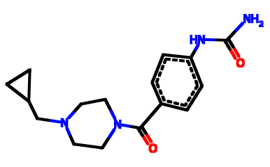 NC(=O)Nc1ccc(C(=O)N2CCN(CC3CC3)CC2)cc1